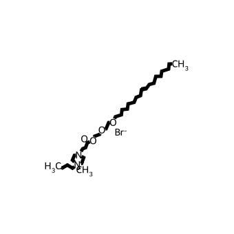 CCCCCCCCC=CCCCCCCCCOCCOCCOC(=O)CCN1CC[N+](C)(CCCC)CC1.[Br-]